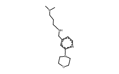 CN(C)CCCNCc1ccnc(N2CCOCC2)c1